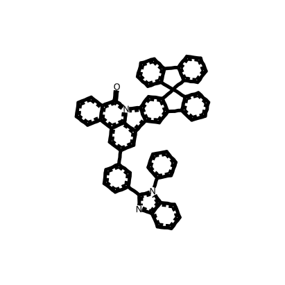 O=c1c2ccccc2c2cc(-c3cccc(-c4nc5ccccc5n4-c4ccccc4)c3)cc3c4cc5c(cc4n1c23)C1(c2ccccc2-c2ccccc21)c1ccccc1-5